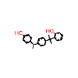 CC(c1ccc(O)cc1)c1ccc(C(C)(C)c2ccccc2O)cc1